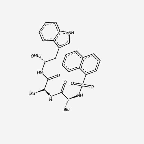 CC[C@H](C)[C@H](NC(=O)[C@@H](NS(=O)(=O)c1cccc2ccccc12)[C@@H](C)CC)C(=O)N[C@H](C=O)Cc1c[nH]c2ccccc12